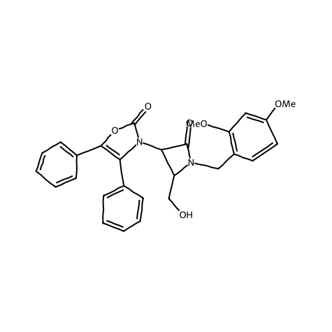 COc1ccc(CN2C(=O)C(n3c(-c4ccccc4)c(-c4ccccc4)oc3=O)C2CO)c(OC)c1